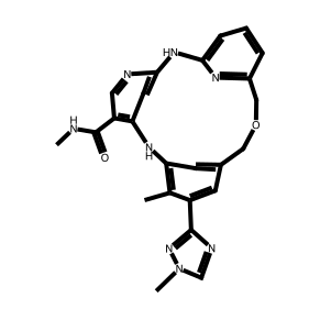 CNC(=O)c1cnc2cc1Nc1cc(cc(-c3ncn(C)n3)c1C)COCc1cccc(n1)N2